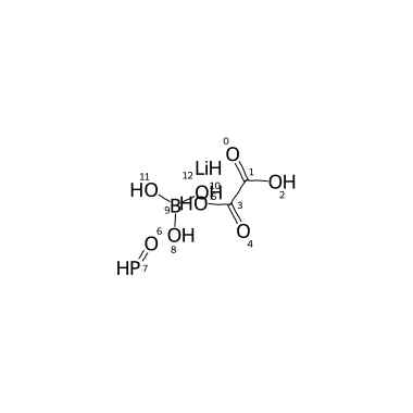 O=C(O)C(=O)O.O=P.OB(O)O.[LiH]